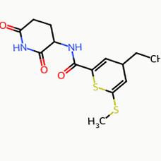 CCC1C=C(SC)SC(C(=O)NC2CCC(=O)NC2=O)=C1